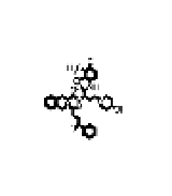 Cc1c(Cl)ccc(NC(=O)C(CCN2CCC(O)CC2)NC(=O)C2Cc3ccccc3CN2C(=O)CCC(=O)c2ccccc2)c1Cl